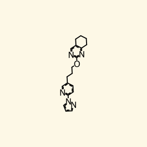 c1cnn(-c2ccc(CCCOc3ncc4c(n3)CCCC4)cn2)c1